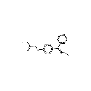 C=C(CC)COc1ccc(/C(=N/OC)c2ccccc2)cc1